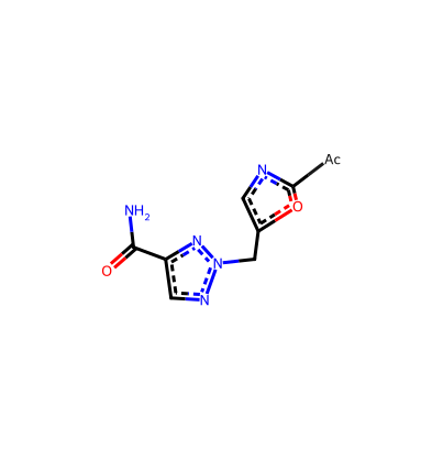 CC(=O)c1ncc(Cn2ncc(C(N)=O)n2)o1